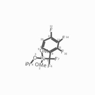 CO[Si](OC)(OC(C)C)C(F)(F)c1ccc(F)c(F)c1F